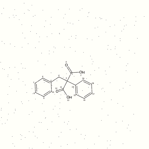 O=C(O)C(Cc1ccccc1)(C(=O)O)c1ccccc1